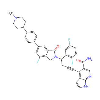 CN1CCC(c2ccc(-c3cc(F)c4c(c3)C(=O)N(C(CC#Cc3c(C(N)=O)cnc5[nH]ccc35)c3cc(F)ccc3F)C4)cc2)CC1